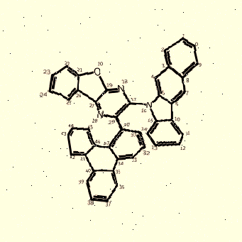 c1ccc2cc3c(cc2c1)c1ccccc1n3-c1nc2oc3ccccc3c2nc1-c1cccc2c3ccccc3c3ccccc3c12